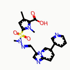 Cc1cc(S(=O)(=O)N(C)N=Cc2cnc3ccc(-c4cccnc4)cn23)n(C)c1C(=O)O